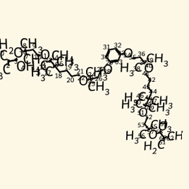 C=C(C)C(=O)OC(C)(C)CCOC(C)(C)C(C)(C)CCCCOC(C)(C)CCOc1cccc(OCCC(C)(C)OCCCCC(C)(C)C(C)(C)OCCC(C)(C)OC(=O)C(=C)C)c1